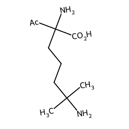 CC(=O)C(N)(CCCC(C)(C)N)C(=O)O